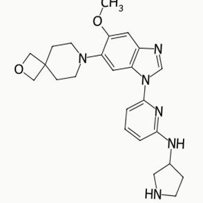 COc1cc2ncn(-c3cccc(NC4CCNC4)n3)c2cc1N1CCC2(CC1)COC2